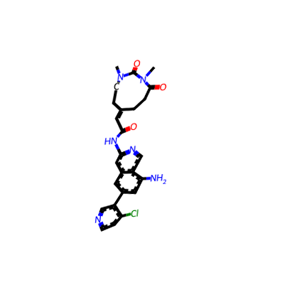 CN1CC/C(=C/C(=O)Nc2cc3cc(-c4cnccc4Cl)cc(N)c3cn2)CCC(=O)N(C)C1=O